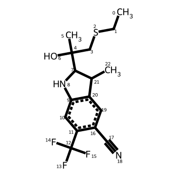 CCSCC(C)(O)C1Nc2cc(C(F)(F)F)c(C#N)cc2C1C